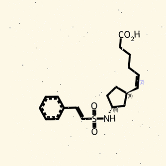 O=C(O)CCC/C=C\[C@@H]1CC[C@@H](NS(=O)(=O)C=Cc2ccccc2)C1